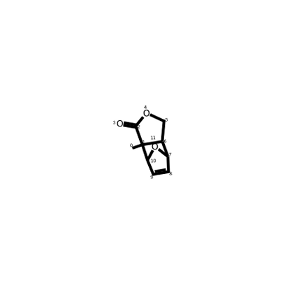 CC12C(=O)OCC1C1C=CC2O1